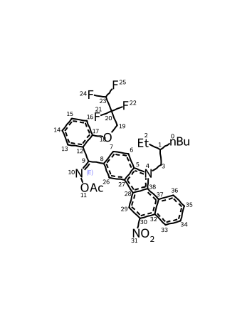 CCCCC(CC)Cn1c2ccc(/C(=N\OC(C)=O)c3ccccc3OCC(F)(F)C(F)F)cc2c2cc([N+](=O)[O-])c3ccccc3c21